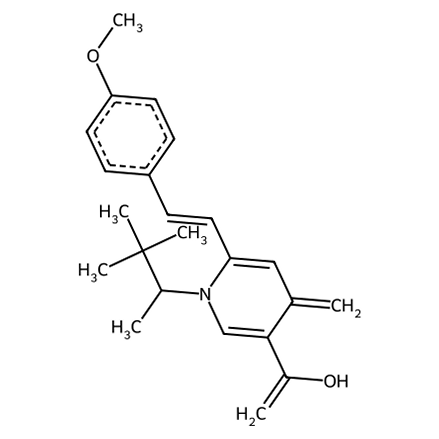 C=C(O)C1=CN(C(C)C(C)(C)C)C(/C=C/c2ccc(OC)cc2)=CC1=C